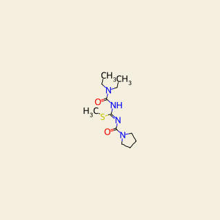 CCN(CC)C(=O)NC(=NC(=O)N1CCCC1)SC